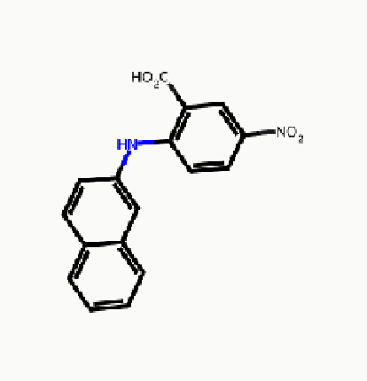 O=C(O)c1cc([N+](=O)[O-])ccc1Nc1ccc2ccccc2c1